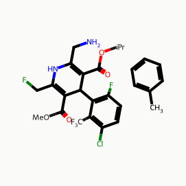 COC(=O)C1=C(CF)NC(CN)=C(C(=O)OC(C)C)C1c1c(F)ccc(Cl)c1C(F)(F)F.Cc1ccccc1